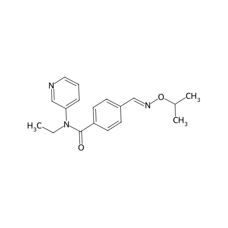 CCN(C(=O)c1ccc(/C=N/OC(C)C)cc1)c1cccnc1